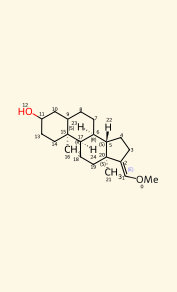 CO/C=C1\CC[C@H]2[C@@H]3CCC4CC(O)CC[C@]4(C)[C@@H]3CC[C@]12C